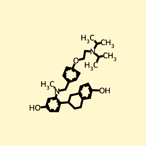 CC(C)N(CCOc1ccc(CN(C)c2cc(O)ccc2C2CCc3cc(O)ccc3C2)cc1)C(C)C